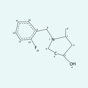 CC1CC(O)CCN1Cc1ccccc1F